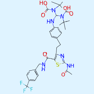 CC(=O)Nc1nc(CCc2ccc(NC(N(C(=O)O)C(C)(C)C)N(C(=O)O)C(C)(C)C)cc2)c(C(=O)NCc2ccc(C(F)(F)F)cc2)s1